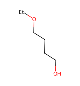 CCO[CH]CCCO